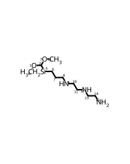 COC(OC)[SiH2]CCCNCCNCCN